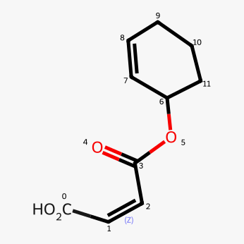 O=C(O)/C=C\C(=O)OC1C=CCCC1